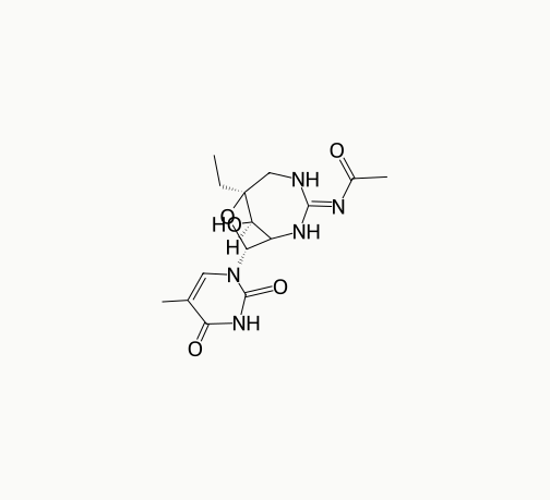 CC[C@@]12CN/C(=N\C(C)=O)NC([C@H](n3cc(C)c(=O)[nH]c3=O)O1)[C@H]2O